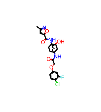 Cc1cc(C(=O)NC23CCC(NC(=O)COc4ccc(Cl)c(F)c4)(CC2)CC3O)on1